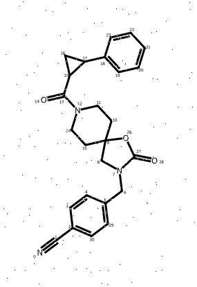 N#Cc1ccc(CN2CC3(CCN(C(=O)C4CC4c4ccccc4)CC3)OC2=O)cc1